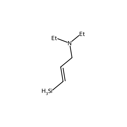 CCN(CC)CC=C[SiH3]